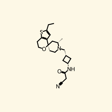 CCc1cc2c(s1)CCO[C@@]21CCN(C[C@H]2C[C@@H](NC(=O)CC#N)C2)[C@@H](C)C1